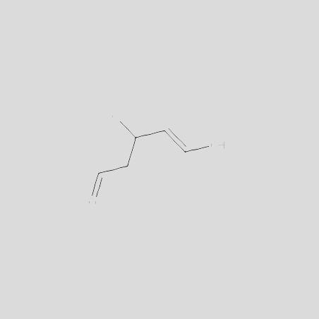 CC=CC(C)CC=O